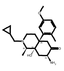 COc1ccc(C)c([C@]23CCN(CC4CC4)[C@H](C)[C@]2(O)C[C@H](N)C(=O)C3)c1